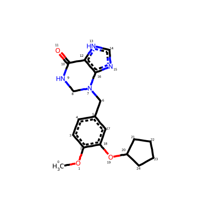 COc1ccc(CN2CNC(=O)c3[nH]cnc32)cc1OC1CCCC1